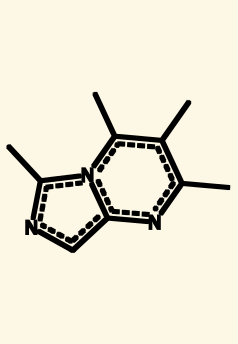 Cc1nc2cnc(C)n2c(C)c1C